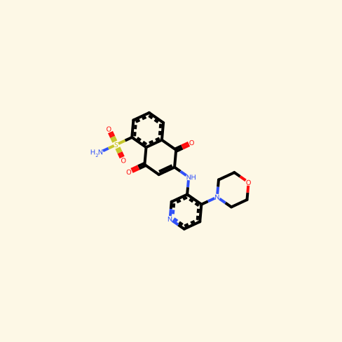 NS(=O)(=O)c1cccc2c1C(=O)C=C(Nc1cnccc1N1CCOCC1)C2=O